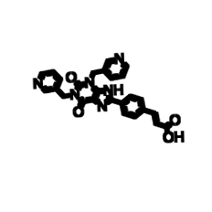 O=C(O)C=Cc1ccc(-c2nc3c(=O)n(Cc4cccnc4)c(=O)n(Cc4cccnc4)c3[nH]2)cc1